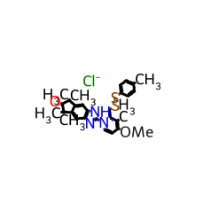 COc1cc[n+](-c2nc3cc4c(cc3[nH]2)C(C)(C)C(=O)C4(C)C)c(CSSc2ccc(C)cc2)c1C.[Cl-]